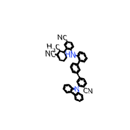 CC1C(C#N)=CCCC1c1cc(C#N)ccc1Nc1ccccc1-c1cccc(-c2ccc(C#N)c(-n3c4ccccc4c4ccccc43)c2)c1